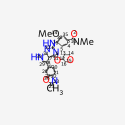 CNC(=O)c1ccc(Nc2nc(OC3CCOC3)c3c(-c4ccc5nc(C)oc5c4)c[nH]c3n2)c(OC)c1